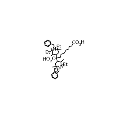 CCC1(C)CC(C(CCCCCCCC(=O)O)(C(=O)O)C2CC(C)(CC)N(Cc3ccccc3)C(C)(CC)C2C)C(C)C(C)(CC)N1Cc1ccccc1